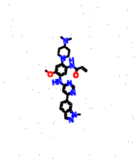 C=CC(=O)Nc1cc(Nc2cc(-c3ccc4cnn(C)c4c3)ncn2)c(OC)cc1N1CCC(N(C)C)CC1